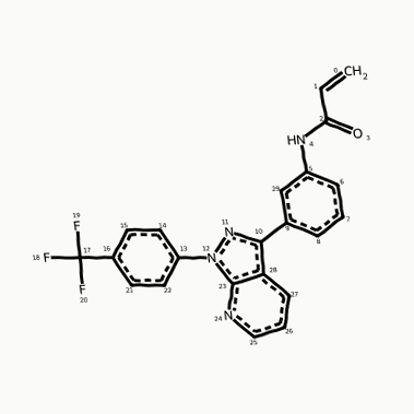 C=CC(=O)Nc1cccc(-c2nn(-c3ccc(C(F)(F)F)cc3)c3ncccc23)c1